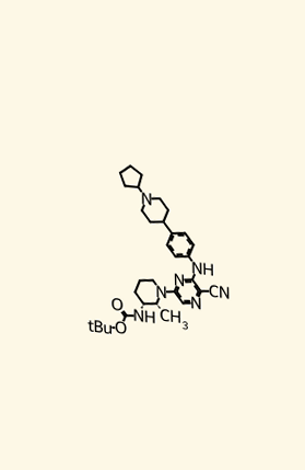 C[C@@H]1[C@H](NC(=O)OC(C)(C)C)CCCN1c1cnc(C#N)c(Nc2ccc(C3CCN(C4CCCC4)CC3)cc2)n1